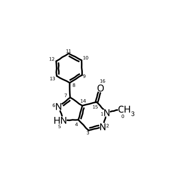 Cn1ncc2[nH]nc(-c3ccccc3)c2c1=O